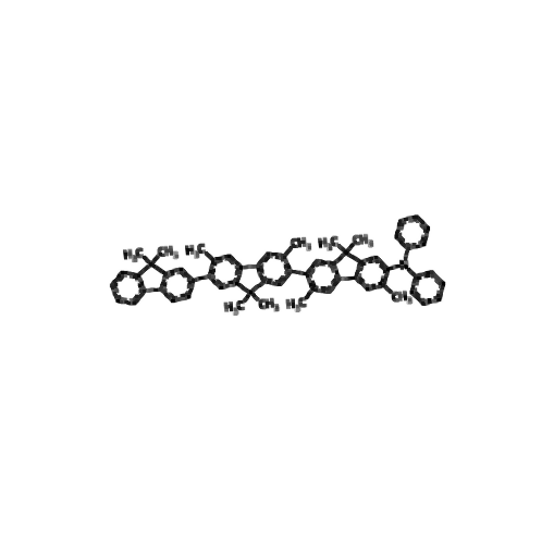 Cc1cc2c(cc1-c1ccc3c(c1)C(C)(C)c1ccccc1-3)C(C)(C)c1cc(-c3cc4c(cc3C)-c3cc(C)c(N(c5ccccc5)c5ccccc5)cc3C4(C)C)c(C)cc1-2